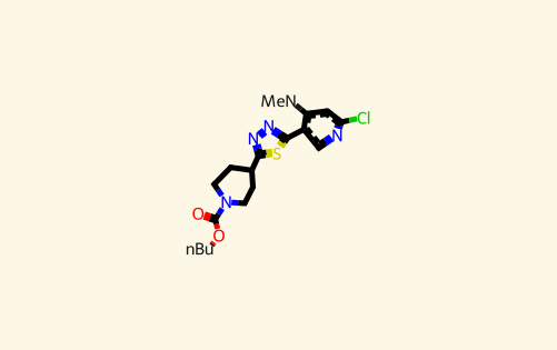 CCCCOC(=O)N1CCC(c2nnc(-c3cnc(Cl)cc3NC)s2)CC1